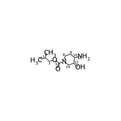 CC(C)COC(=O)N1CCC(N)C(O)C1